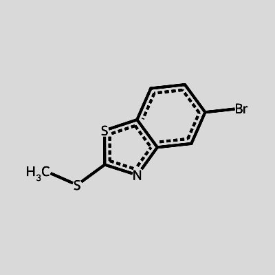 CSc1nc2cc(Br)ccc2s1